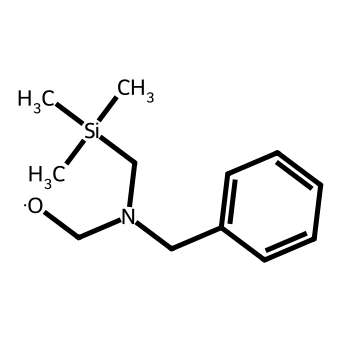 C[Si](C)(C)CN(C[O])Cc1ccccc1